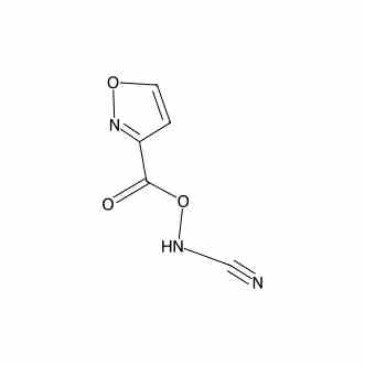 N#CNOC(=O)c1ccon1